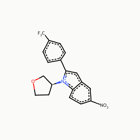 O=[N+]([O-])c1ccc2c(c1)cc(-c1ccc(C(F)(F)F)cc1)n2[C@H]1CCOC1